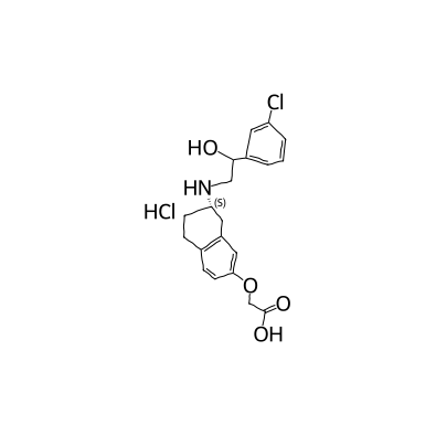 Cl.O=C(O)COc1ccc2c(c1)C[C@@H](NCC(O)c1cccc(Cl)c1)CC2